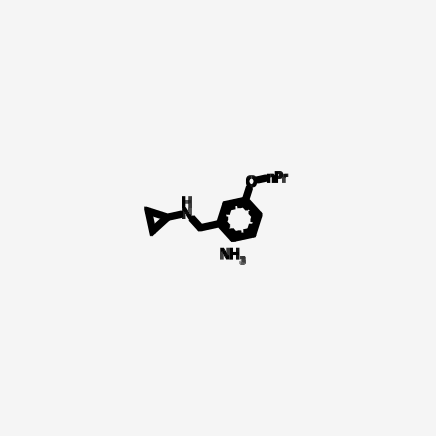 CCCOc1cccc(CNC2CC2)c1.N